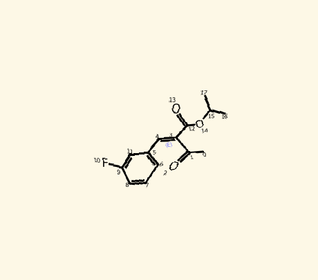 CC(=O)/C(=C\c1cccc(F)c1)C(=O)OC(C)C